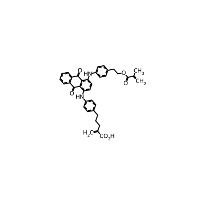 C=C(C)C(=O)OCCc1ccc(Nc2ccc(Nc3ccc(CCCC(=C)C(=O)O)cc3)c3c2C(=O)c2ccccc2C3=O)cc1